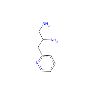 NCC(N)Cc1ccccn1